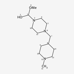 COC(O)N1CCN(CC2CCN(C)CC2)CC1